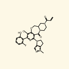 C=CC(=O)N1CCN2C(=O)c3c(N4CCc5c4cnn5C)nc(-c4c(O)cccc4F)c(Cl)c3OCC2C1